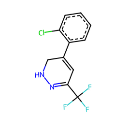 FC(F)(F)C1=NNCC(c2ccccc2Cl)=C1